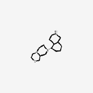 C1CC2CNCCC2[C@@H](N2CCN3CCOCC3C2)C1